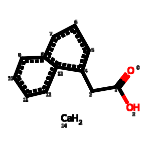 O=C(O)Cc1cccc2ccccc12.[CaH2]